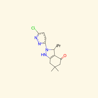 CC(C)C1C2=C(CC(C)(C)CC2=O)NN1c1ccc(Cl)nn1